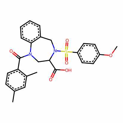 COc1ccc(S(=O)(=O)N2Cc3ccccc3N(C(=O)c3ccc(C)cc3C)CC2C(=O)O)cc1